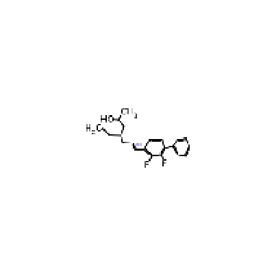 C=CCC(C/C=C/c1ccc(-c2ccccc2)c(F)c1F)CC(C)O